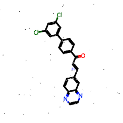 O=C(/C=C/c1ccc2nccnc2c1)c1ccc(-c2cc(Cl)cc(Cl)c2)cc1